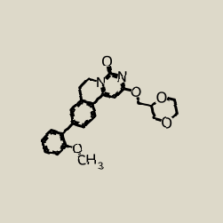 COc1ccccc1-c1ccc2c(c1)CCn1c-2cc(OCC2COCCO2)nc1=O